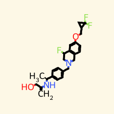 C=C(CO)N[C@@H](C)c1ccc(CN2Cc3ccc(OCC4CC4(F)F)cc3C(F)C2)cc1